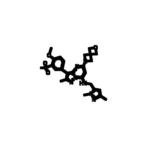 COc1ccc(-c2c(C)nn3c(NCc4cc(C)nn4C)cc(N4CC5(COC5)C4)nc23)cc1S(C)(=O)=O